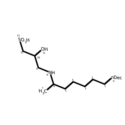 CCCCCCCCCCCCCCCC(C)NCC(O)CS(=O)(=O)O